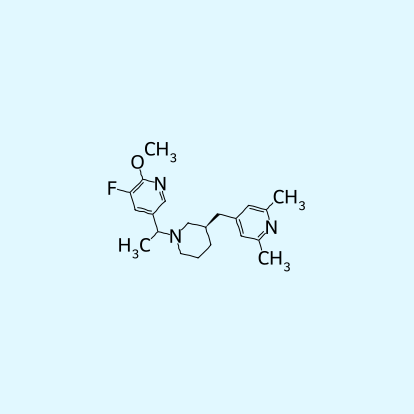 COc1ncc(C(C)N2CCC[C@H](Cc3cc(C)nc(C)c3)C2)cc1F